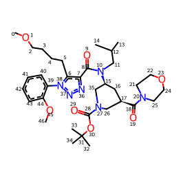 COCCCCc1c(C(=O)N(CC(C)C)[C@H]2C[C@@H](C(=O)N3CCOCC3)CN(C(=O)OC(C)(C)C)C2)nnn1-c1ccccc1OC